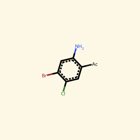 CC(=O)c1cc(Cl)c(Br)cc1N